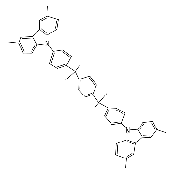 Cc1ccc2c(c1)c1cc(C)ccc1n2-c1ccc(C(C)(C)c2ccc(C(C)(C)c3ccc(-n4c5ccc(C)cc5c5cc(C)ccc54)cc3)cc2)cc1